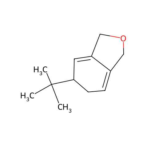 CC(C)(C)C1C=C2COCC2=CC1